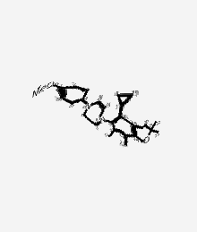 COc1ccc(N2CCN(c3c(C)c(C)c4c(c3C3CC3)CC(C)(C)O4)CC2)cc1